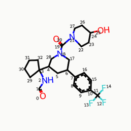 O=CNC1(C2CC(c3ccc(C(F)(F)F)cc3)CN(C(=O)N3CCC(O)CC3)C2)CCCC1